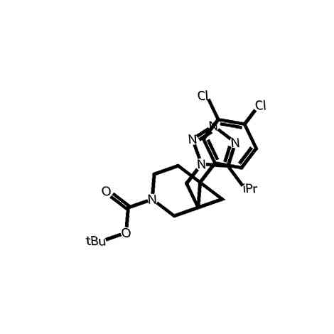 CC(C)c1nnnn1CC12CN(C(=O)OC(C)(C)C)CCC1(c1ccc(Cl)c(Cl)c1)C2